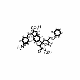 CC(C(=O)OC(C)(C)C)C(N)(CC(O)COc1ccccc1)c1ccc2c(c1)cc(C(=O)O)n2Cc1ccc(N)cc1